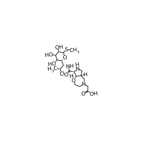 CSC1O[C@H]([C@H](NC(=O)[C@H]2NC[C@@H]3CN(CC(=O)O)CCO[C@H]32)[C@H](C)Cl)C(O)[C@@H](O)[C@H]1O